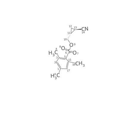 Cc1cc(C)c(S(=O)(=O)OC[C@@H]2C[C@H]2C#N)c(C)c1